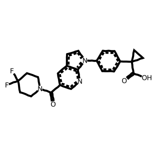 O=C(c1cnc2c(ccn2-c2ccc(C3(C(=O)O)CC3)cc2)c1)N1CCC(F)(F)CC1